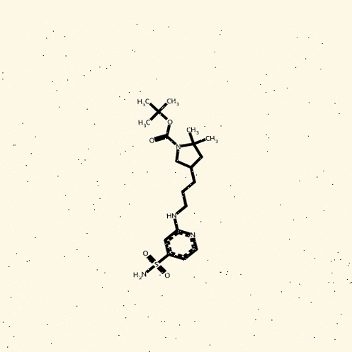 CC(C)(C)OC(=O)N1CC(CCCNc2cc(S(N)(=O)=O)ccn2)CC1(C)C